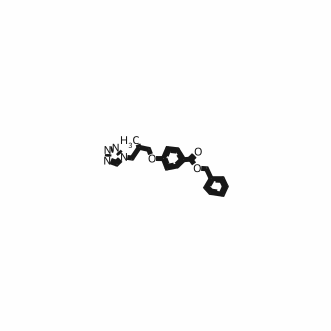 CC(COc1ccc(C(=O)OCc2ccccc2)cc1)Cn1cnnn1